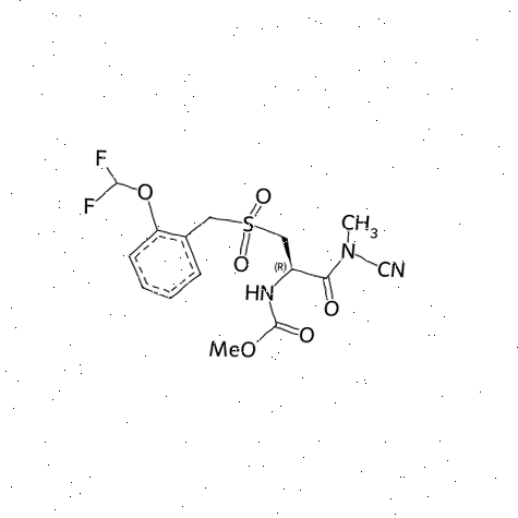 COC(=O)N[C@@H](CS(=O)(=O)Cc1ccccc1OC(F)F)C(=O)N(C)C#N